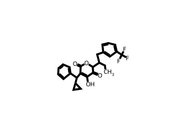 CCC(Cc1cccc(C(F)(F)F)c1)C1OC(=O)C(C(c2ccccc2)C2CC2)=C(O)C1=O